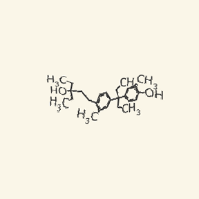 CCC(O)(CC)CCc1ccc(C(CC)(CC)c2ccc(O)c(C)c2)cc1C